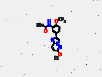 CCOc1ccc2nc(-c3ccc(OC(F)(F)F)c(NC(=O)C(C)(C)C)c3)cn2n1